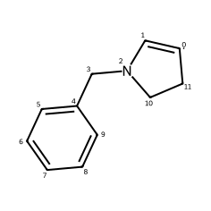 [C]1=CN(Cc2ccccc2)CC1